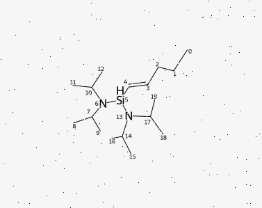 CCCC=C[SiH](N(C(C)C)C(C)C)N(C(C)C)C(C)C